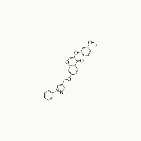 Cc1cccc(Oc2coc3cc(OCc4cnn(-c5ccccc5)c4)ccc3c2=O)c1